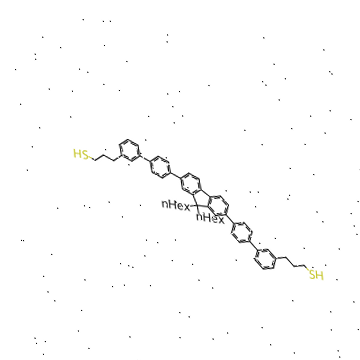 CCCCCCC1(CCCCCC)c2cc(-c3ccc(-c4cccc(CCCS)c4)cc3)ccc2-c2ccc(-c3ccc(-c4cccc(CCCS)c4)cc3)cc21